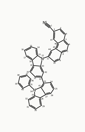 N#Cc1ccc2ccc3ccc(-n4c5ccccc5c5ccc(-c6cccc7c8ccccc8n(-c8ccccc8)c67)cc54)cc3c2c1